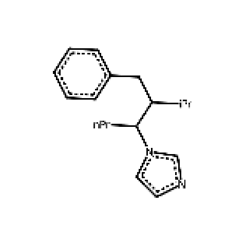 CCCC(C(Cc1ccccc1)C(C)C)n1ccnc1